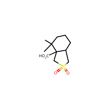 CC1(C)CCCC2CS(=O)(=O)CC21C(=O)O